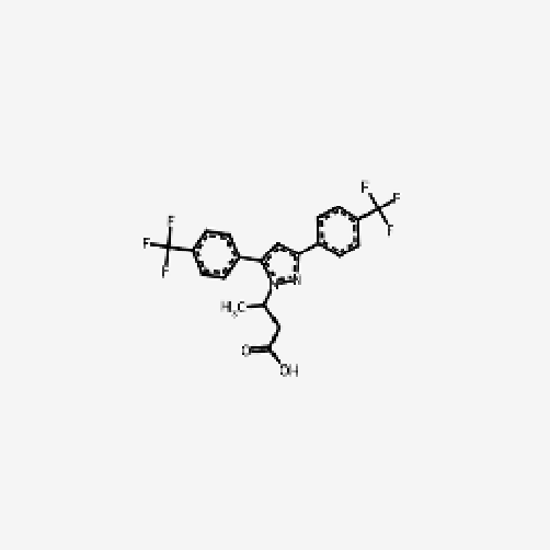 CC(CC(=O)O)n1nc(-c2ccc(C(F)(F)F)cc2)cc1-c1ccc(C(F)(F)F)cc1